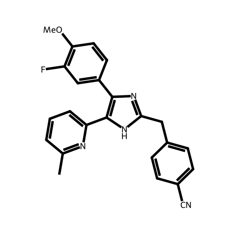 COc1ccc(-c2nc(Cc3ccc(C#N)cc3)[nH]c2-c2cccc(C)n2)cc1F